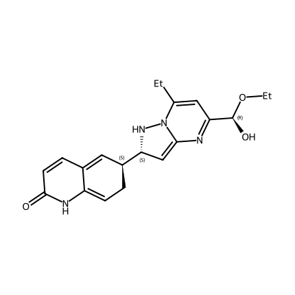 CCO[C@@H](O)C1=NC2=C[C@H]([C@@H]3C=c4ccc(=O)[nH]c4=CC3)NN2C(CC)=C1